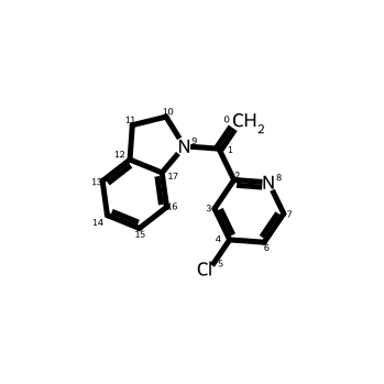 C=C(c1cc(Cl)ccn1)N1CCc2ccccc21